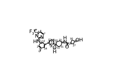 Cc1cc(Nc2nccc(C(F)(F)F)n2)cc(-c2cnc(C3(O)CCC(NC(=O)[C@H]4C[C@@H](O)C4)CC3)s2)c1